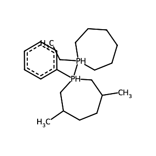 CC[PH]1([PH]2(c3ccccc3)CC(C)CCC(C)C2)CCCCCC1